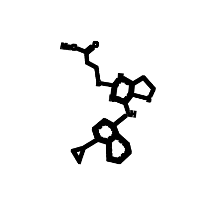 COC(=O)CCSc1nc2c(c(Nc3ccc(C4CC4)c4ccccc34)n1)SCC2